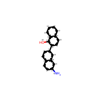 Nc1ccc2ccc(-c3ccc4ccccc4c3O)cc2c1